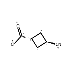 N#C[C@H]1C[C@H](C(=O)Cl)C1